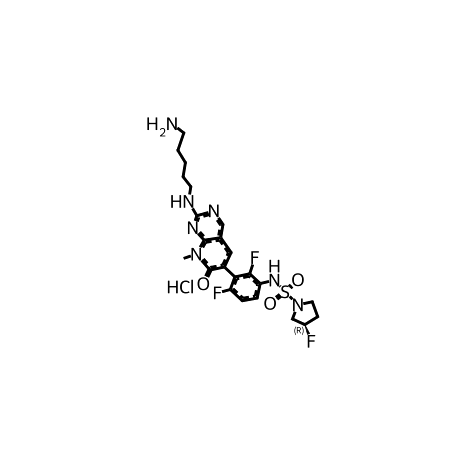 Cl.Cn1c(=O)c(-c2c(F)ccc(NS(=O)(=O)N3CC[C@@H](F)C3)c2F)cc2cnc(NCCCCCN)nc21